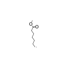 [CH2]CCCCCC(=O)OC